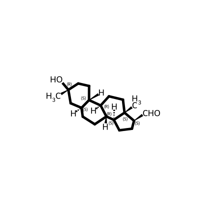 C[C@@]1(O)CC[C@H]2[C@@H](CC[C@@H]3[C@@H]2CC[C@]2(C)[C@@H](C=O)CC[C@@H]32)C1